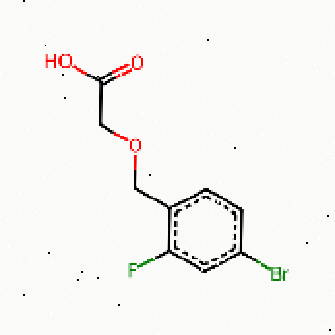 O=C(O)COCc1ccc(Br)cc1F